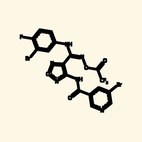 O=C(Nc1nonc1/C(=N\OC(=O)C(F)(F)F)Nc1ccc(F)c(Br)c1)c1cncc(Br)c1